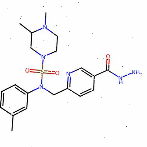 Cc1cccc(N(Cc2ccc(C(=O)NN)cn2)S(=O)(=O)N2CCN(C)C(C)C2)c1